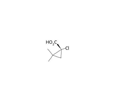 CC1(C)C[C@]1(Cl)C(=O)O